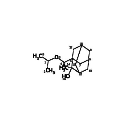 CC(C)OC(=O)C12CC3CC(CC(C3)C1(C)O)C2